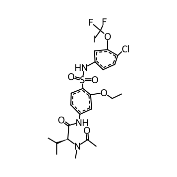 CCOc1cc(NC(=O)[C@H](C(C)C)N(C)C(C)=O)ccc1S(=O)(=O)Nc1ccc(Cl)c(OC(F)(F)I)c1